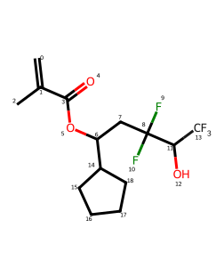 C=C(C)C(=O)OC(CC(F)(F)C(O)C(F)(F)F)C1CCCC1